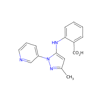 Cc1cc(Nc2ccccc2C(=O)O)n(-c2cccnc2)n1